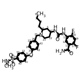 CCCCC1CC(NC(=O)Nc2cc(C(N)=O)c(F)cc2F)CCN1Cc1ccc(Oc2ccc(S(=O)(=O)NC)cc2)cc1